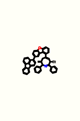 C=C1C/C(c2cccc3oc4ccc(-c5ccc6c7c(cccc57)-c5ccccc5-6)cc4c23)=C\C(CC)/C(c2ccccc2)=N\C1c1ccccc1